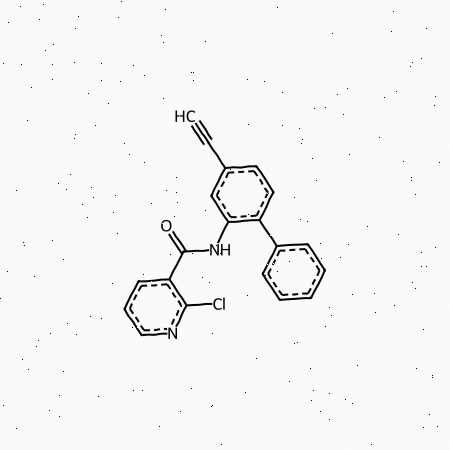 C#Cc1ccc(-c2ccccc2)c(NC(=O)c2cccnc2Cl)c1